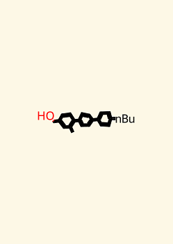 CCCCc1ccc(-c2ccc(-c3ccc(CO)cc3C)cc2)cc1